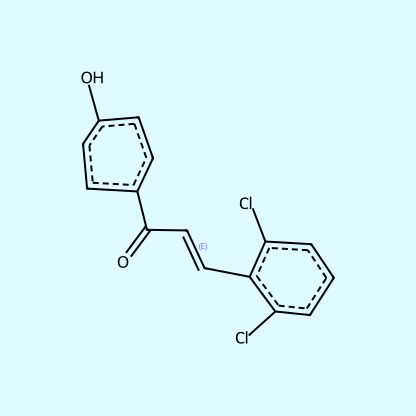 O=C(/C=C/c1c(Cl)cccc1Cl)c1ccc(O)cc1